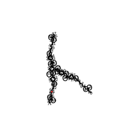 C=CC(=O)OCCCCCCOc1ccc(C(=O)Oc2ccc(OC(=O)c3cc(OC(=O)c4ccc(OCCCCCCOC(=O)C=C)cc4)ccc3OC(=O)c3ccc(OCCCCCCOC(=O)C=C)cc3)cc2)cc1